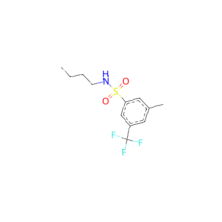 CCCCNS(=O)(=O)c1cc(C)cc(C(F)(F)F)c1